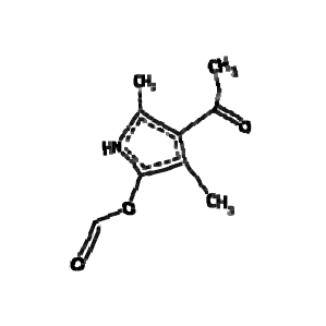 CC(=O)c1c(C)[nH]c(OC=O)c1C